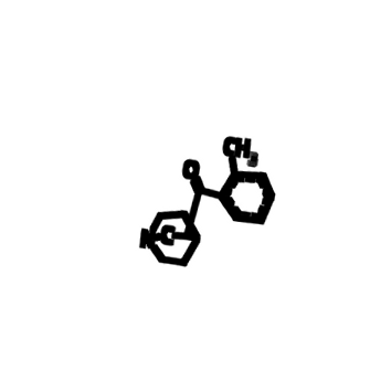 Cc1ccccc1C(=O)C1CN2CCC1CC2